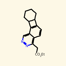 CCOC(=O)Cc1nncc2c3c(ccc12)C1CCCCC31